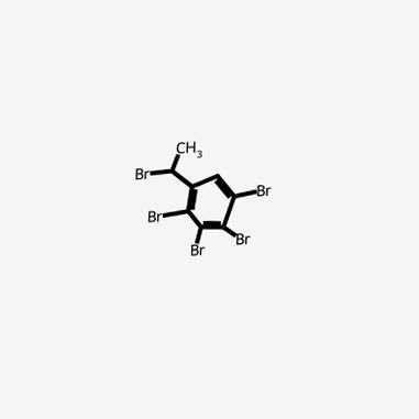 CC(Br)c1cc(Br)c(Br)c(Br)c1Br